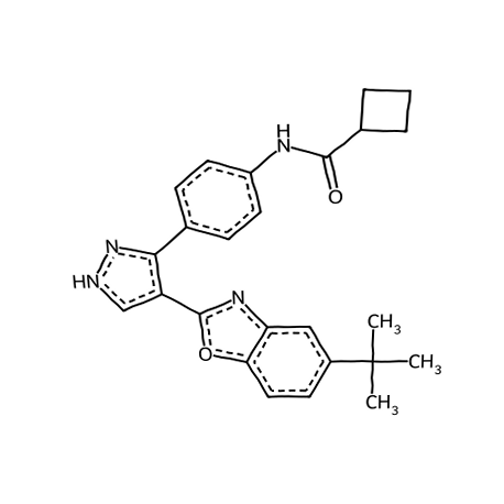 CC(C)(C)c1ccc2oc(-c3c[nH]nc3-c3ccc(NC(=O)C4CCC4)cc3)nc2c1